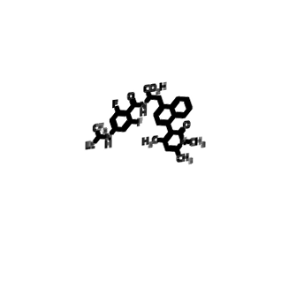 CCC(Nc1cc(F)c(C(=O)NC(Cc2ccc(-c3c(C)cc(C)n(C)c3=O)c3ccccc23)C(=O)O)c(F)c1)C(F)(F)F